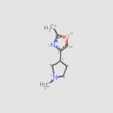 Cc1nc(C2CCN(C)C2)co1